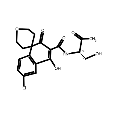 CC(=O)[C@H](CO)NC(=O)C1=C(O)c2cc(Cl)ccc2C2(CCOCC2)C1=O